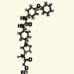 CCOCC(=O)N(C)C1CCN(c2ccc(NC(=O)Nc3ccc(Oc4ccccc4)cc3)cc2)C1